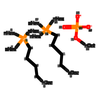 CCCCCCCCCCCCCC[P+](CCCCCC)(CCCCCC)CCCCCC.CCCCCCCCCCCCCC[P+](CCCCCC)(CCCCCC)CCCCCC.CCCCCCCCOP(=O)([O-])[O-]